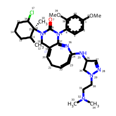 COc1ccc(N2C(=O)N([C@@]3(C)C(C)CCCC3Cl)CC3=C/CC=C=C(NC4C=NN(CCN(C)C)C4)/N=C\32)c(OC)c1